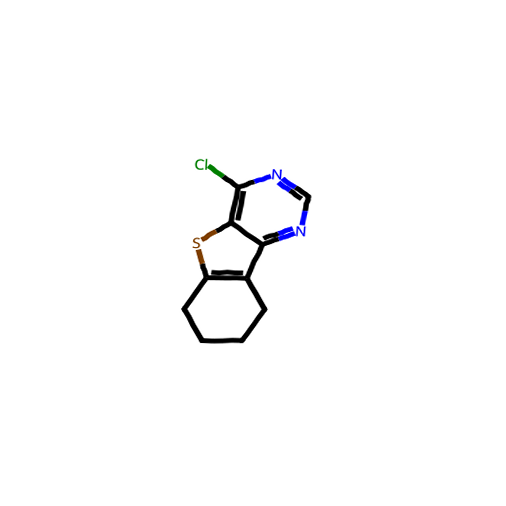 Clc1ncnc2c3c(sc12)CCCC3